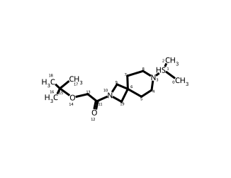 C[SH](C)N1CCC2(CC1)CN(C(=O)COC(C)(C)C)C2